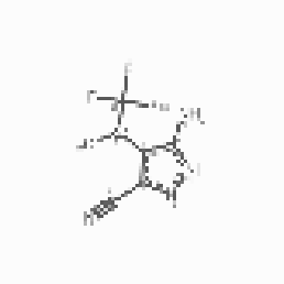 N#Cc1n[nH]c(N)c1[S+]([O-])C(F)(F)F